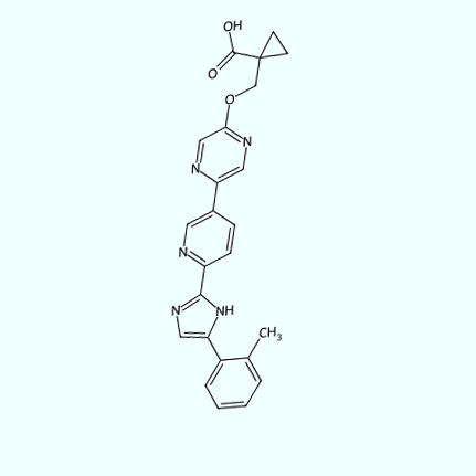 Cc1ccccc1-c1cnc(-c2ccc(-c3cnc(OCC4(C(=O)O)CC4)cn3)cn2)[nH]1